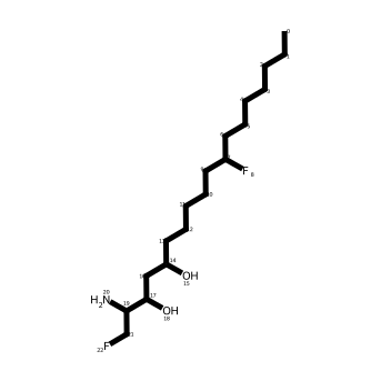 CCCCCCCC(F)CCCCCC(O)CC(O)C(N)CF